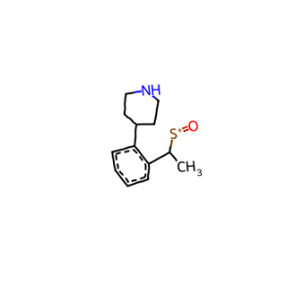 CC([S+]=O)c1ccccc1C1CCNCC1